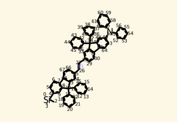 C[Si](C)(C)c1ccc2c(c1)C(c1ccccc1)(c1ccccc1)c1cc(/C=C/c3ccc4c(c3)C(c3ccccc3)(c3ccccc3)c3cc(N(c5ccccc5)c5ccccc5)ccc3-4)ccc1-2